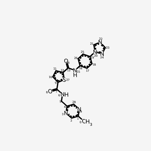 Cc1cnc(CNC(=O)c2ccc(C(=O)Nc3ccc(-n4cncn4)cc3)s2)cn1